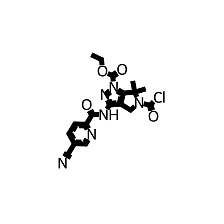 CCOC(=O)n1nc(NC(=O)c2ccc(C#N)cn2)c2c1C(C)(C)N(C(=O)Cl)C2